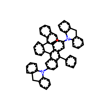 c1ccc(-c2c3cc(N4c5ccccc5Cc5ccccc54)ccc3c(-c3ccccc3-c3cccc4ccccc34)c3cc(N4c5ccccc5Cc5ccccc54)ccc23)cc1